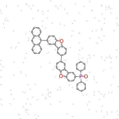 O=P(c1ccccc1)(c1ccccc1)c1ccc2oc3ccc(-c4ccc5oc6ccc(-c7c8ccccc8cc8ccccc78)cc6c5c4)cc3c2c1